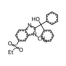 CCS(=O)(=O)c1ccc2nc(C(O)(c3ccccc3)c3ccccc3)n(C)c2c1